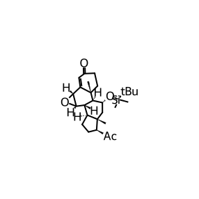 CC(=O)[C@H]1CC[C@H]2[C@@H]3[C@@H]4O[C@@H]4C4=CC(=O)CC[C@]4(C)[C@H]3[C@H](O[Si](C)(C)C(C)(C)C)C[C@]12C